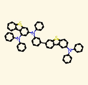 c1ccc(N(c2cccc(-c3ccc4c(c3)sc3ccc(N(c5ccccc5)c5ccccc5)cc34)c2)c2cc(N(c3ccccc3)c3ccccc3)c3c(c2)sc2ccccc23)cc1